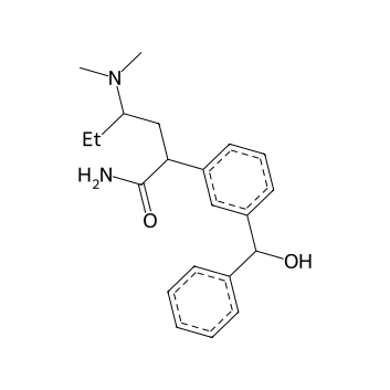 CCC(CC(C(N)=O)c1cccc(C(O)c2ccccc2)c1)N(C)C